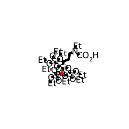 CCO[Si](OCC)(OCC)O[Si](CCCN(CC)C(=O)O)(O[Si](OCC)(OCC)OCC)O[Si](OCC)(OCC)OCC